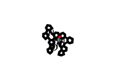 c1ccc(-c2ccccc2-c2nc(-n3c4cccc5c4c4c(cc6c7ccccc7oc6c43)c3cccc4c6ccccc6n5c34)nc3c2ccc2ccccc23)cc1